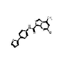 Cc1cc(Cl)nc2c(C(=O)Nc3ccc(-c4ccco4)cc3)ncn12